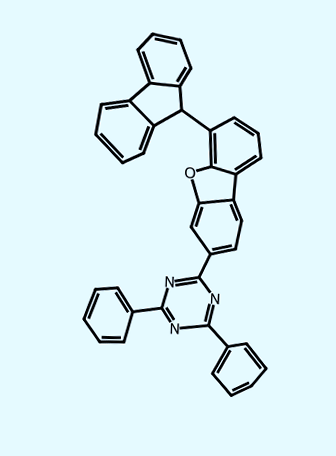 c1ccc(-c2nc(-c3ccccc3)nc(-c3ccc4c(c3)oc3c(C5c6ccccc6-c6ccccc65)cccc34)n2)cc1